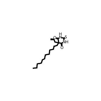 C=CCC1(CCCCCCCCCCCC)C(=O)NC(=S)NC1=O